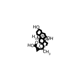 C[C@H](C1CC1C(=O)O)[C@H]1CC[C@H]2[C@@H]3C(O)CC4CC(O)CC[C@]4(C)[C@H]3CC[C@]12C